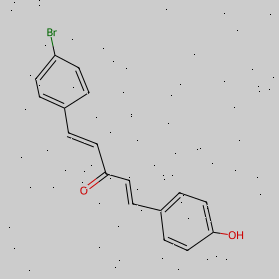 O=C(C=Cc1ccc(O)cc1)C=Cc1ccc(Br)cc1